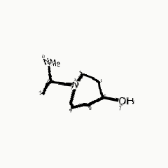 CNC(C)N1CCC(O)CC1